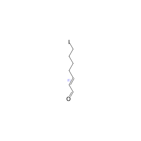 O=C/C=C/CCCCI